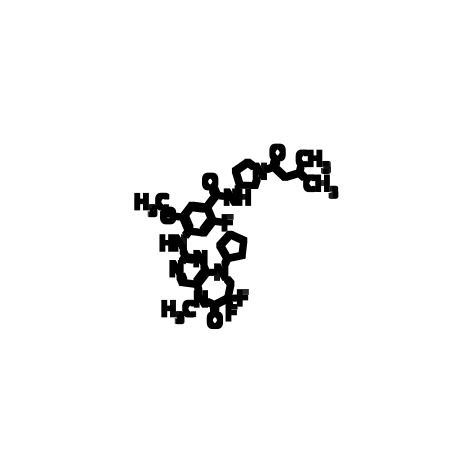 COc1cc(C(=O)N[C@@H]2CCN(C(=O)CC(C)C)C2)c(F)cc1Nc1ncc2c(n1)N(C1CCCC1)CC(F)(F)C(=O)N2C